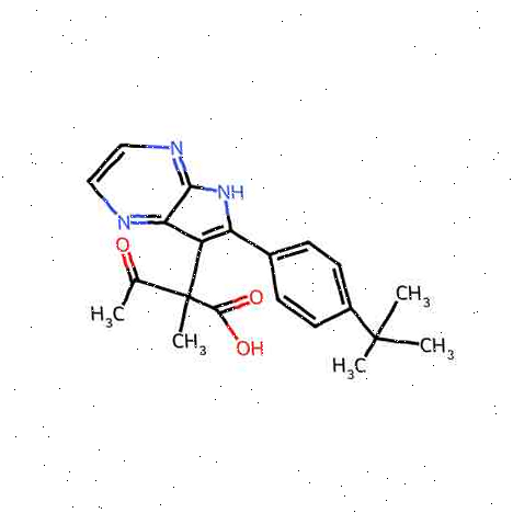 CC(=O)C(C)(C(=O)O)c1c(-c2ccc(C(C)(C)C)cc2)[nH]c2nccnc12